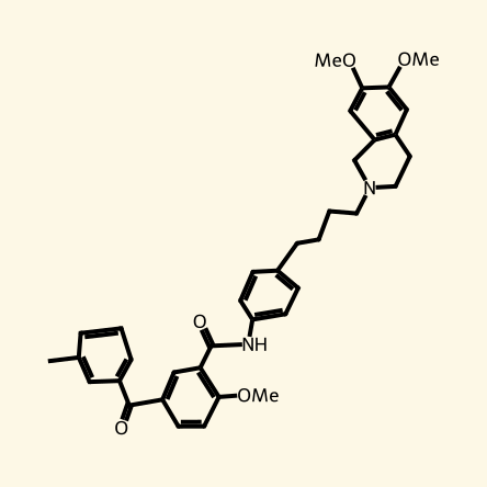 COc1cc2c(cc1OC)CN(CCCCc1ccc(NC(=O)c3cc(C(=O)c4cccc(C)c4)ccc3OC)cc1)CC2